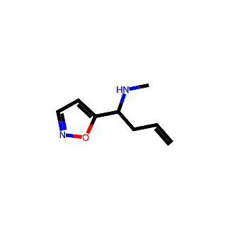 C=CCC(NC)c1ccno1